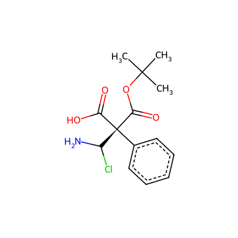 CC(C)(C)OC(=O)[C@@](C(=O)O)(c1ccccc1)C(N)Cl